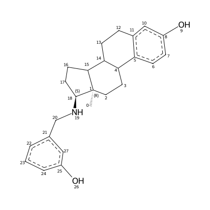 C[C@@]12CCC3c4ccc(O)cc4CCC3C1CC[C@@H]2NCc1cccc(O)c1